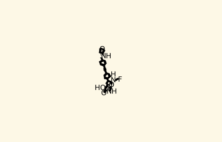 O=C(NCCF)C(Cc1nc[nH]c(=O)c1O)c1ccc(C#Cc2ccc(CN[C@H]3CCOC3)cc2)cc1